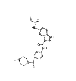 C=CC(=O)Nc1cnc2[nH]nc(C(=O)Nc3ccc(C(=O)N4CCN(C)CC4)cc3)c2c1